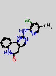 Cc1cnc(Nc2ncc3c(n2)-c2ccccc2NC(=O)C3)c(Br)c1